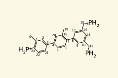 Cc1cc(-c2ccc(-c3cc(CP)cc(CP)c3)c(C)c2)ccc1P